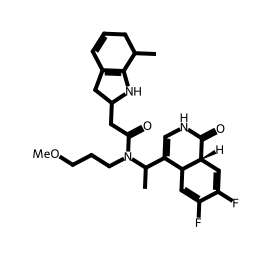 COCCCN(C(=O)CC1CC2=C(N1)C(C)CC=C2)C(C)C1=CNC(=O)[C@@H]2C=C(F)C(F)=CC12